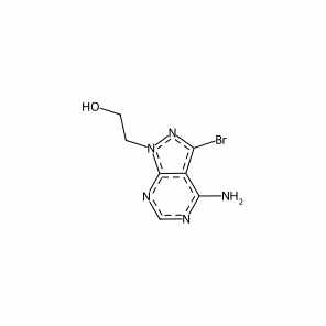 Nc1ncnc2c1c(Br)nn2CCO